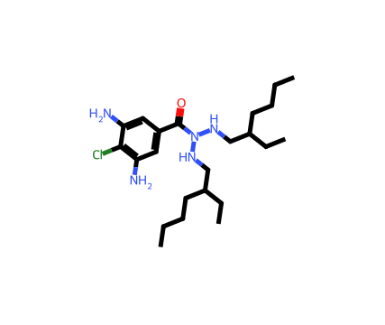 CCCCC(CC)CNN(NCC(CC)CCCC)C(=O)c1cc(N)c(Cl)c(N)c1